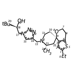 CCc1cc2c(s1)CCO[C@@]21CCN(Cc2cn(C[C@H](O)C(C)(C)C)nn2)[C@@H](C)C1